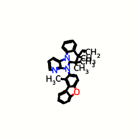 C=CC1(C)c2ccccc2N2c3cccnc3N(c3ccc4oc5ccccc5c4c3C)C2C1(C)C